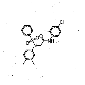 Cc1ccc(N(CC(=O)Nc2ccc(Cl)cc2C)S(=O)(=O)c2ccccc2)cc1C